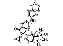 CC(C)(O)C(C)(C)c1cccc(-n2c3nc(Nc4ccc5c(c4)CCNC5)ncc3c(=O)n2C2CC2)n1